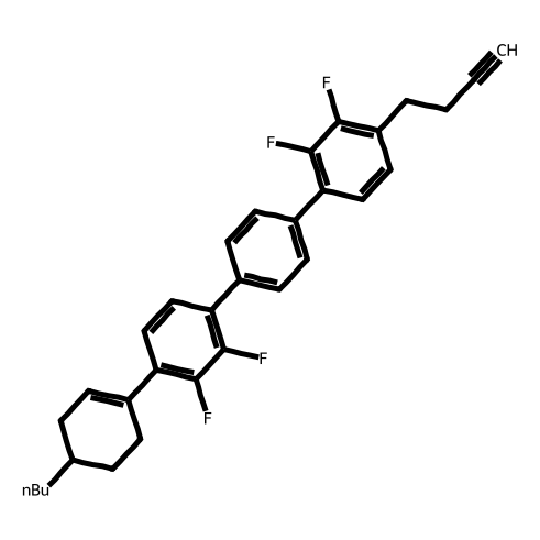 C#CCCc1ccc(-c2ccc(-c3ccc(C4=CCC(CCCC)CC4)c(F)c3F)cc2)c(F)c1F